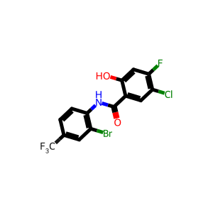 O=C(Nc1ccc(C(F)(F)F)cc1Br)c1cc(Cl)c(F)cc1O